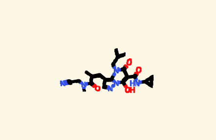 CC(=Cc1cnn2c(O)c(C(=O)NC3CC3)c(=O)n(CC(C)C)c12)C(=O)N(C)CC#N